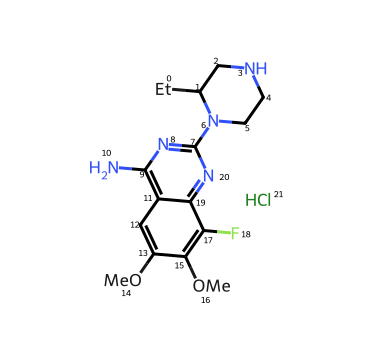 CCC1CNCCN1c1nc(N)c2cc(OC)c(OC)c(F)c2n1.Cl